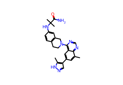 Cc1[nH]ncc1-c1cc(C)c2ncnc(N3CCc4ccc(NC(C)(C)C(N)=O)cc4C3)c2c1